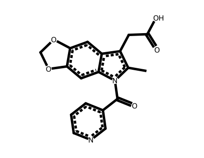 Cc1c(CC(=O)O)c2cc3c(cc2n1C(=O)c1cccnc1)OCO3